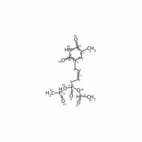 Cc1cn(C/C=C\CP(=O)(O[PH](C)=O)O[PH](C)=O)c(=O)[nH]c1=O